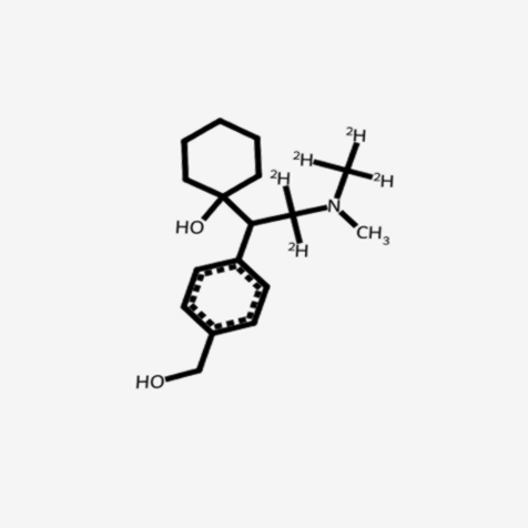 [2H]C([2H])([2H])N(C)C([2H])([2H])C(c1ccc(CO)cc1)C1(O)CCCCC1